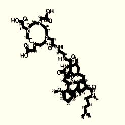 C=C1CC(CC)CC(C)C1(NC(=O)c1cc(-c2c(OC)cccc2OC)n(-c2ccc(C(=O)N(C)CCCN(C)C)cc2C(C)C)n1)C(=O)NCCNC(=O)CN1CCN(CC(=O)O)CCN(CC(=O)O)CCN(CC(=O)O)CC1